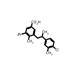 Cc1cc(C(C)Cc2cc(C(=O)O)cc(C(C)C)c2C)ccc1Cl